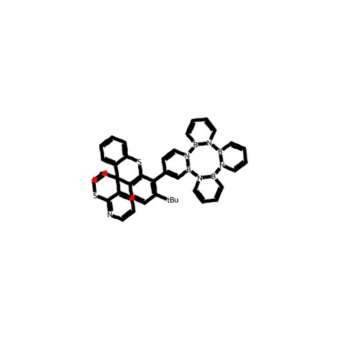 CC(C)(C)c1ccc2c(c1C1=CB3N4C=CC=CB4N4C=CC=CB4N4C=CC=CB4N3C=C1)Sc1ccccc1C21c2ccccc2Sc2ncccc21